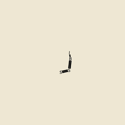 S=S=BI